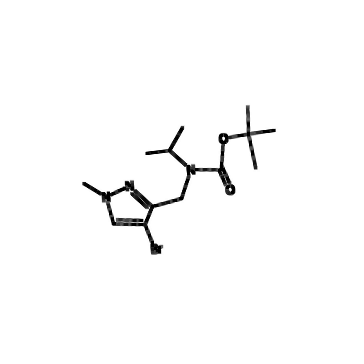 CC(C)N(Cc1nn(C)cc1Br)C(=O)OC(C)(C)C